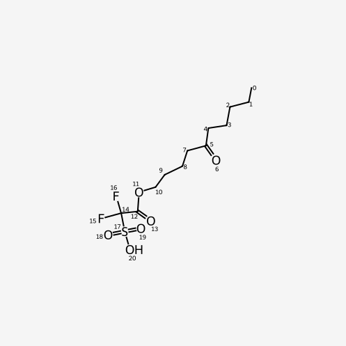 CCCCCC(=O)CCCCOC(=O)C(F)(F)S(=O)(=O)O